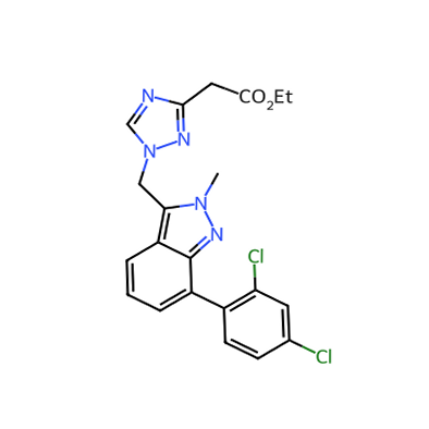 CCOC(=O)Cc1ncn(Cc2c3cccc(-c4ccc(Cl)cc4Cl)c3nn2C)n1